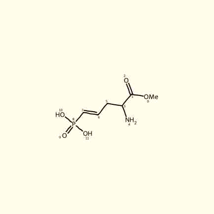 COC(=O)C(N)C/C=C/P(=O)(O)O